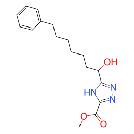 COC(=O)c1nnc(C(O)CCCCCCc2ccccc2)[nH]1